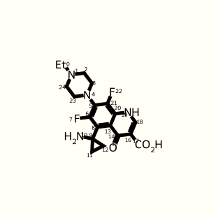 CCN1CCN(c2c(F)c(C3(N)CC3)c3c(=O)c(C(=O)O)c[nH]c3c2F)CC1